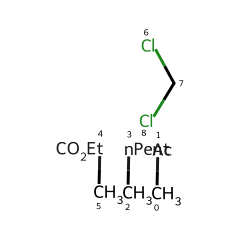 CC(C)=O.CCCCCC.CCOC(C)=O.ClCCl